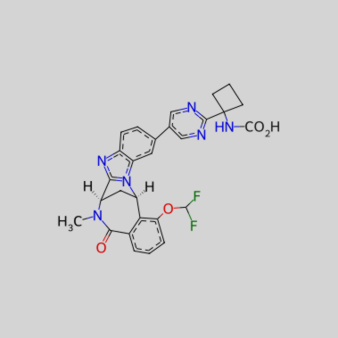 CN1C(=O)c2cccc(OC(F)F)c2[C@H]2C[C@@H]1c1nc3ccc(-c4cnc(C5(NC(=O)O)CCC5)nc4)cc3n12